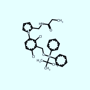 CCC(=O)NCc1cccn1-c1ccc(Cl)c(CO[Si](c2ccccc2)(c2ccccc2)C(C)(C)C)c1Cl